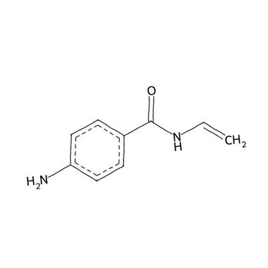 C=CNC(=O)c1ccc(N)cc1